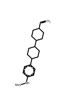 C=CC1CCC(C2CCC(c3ccc(NSC)cc3)CC2)CC1